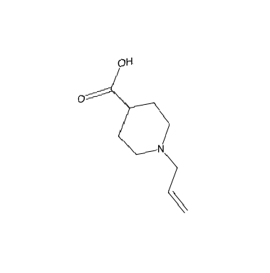 C=CCN1CCC(C(=O)O)CC1